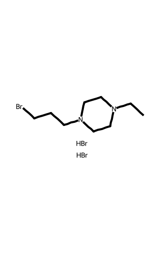 Br.Br.CCN1CCN(CCCBr)CC1